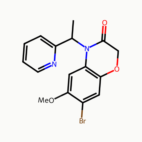 COc1cc2c(cc1Br)OCC(=O)N2C(C)c1ccccn1